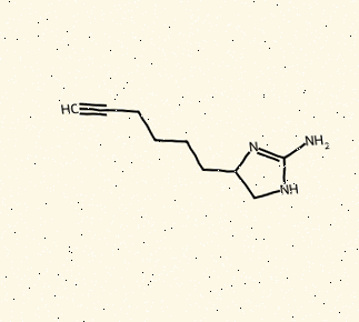 C#CCCCCC1CNC(N)=N1